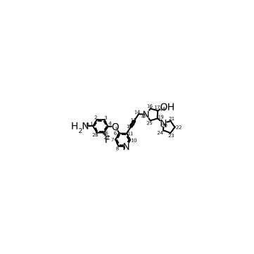 Nc1ccc(Oc2ccncc2C#CCN2CC(O)C(N3CCCC3)C2)c(F)c1